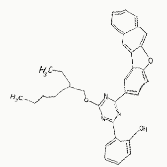 CCCCC(CC)COc1nc(-c2ccc3oc4cc5ccccc5cc4c3c2)nc(-c2ccccc2O)n1